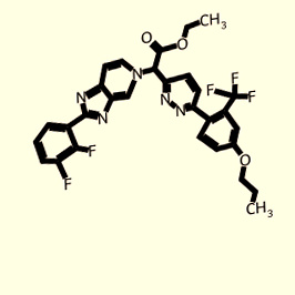 CCCOc1ccc(-c2ccc(C(C(=O)OCC)n3ccc4nc(-c5cccc(F)c5F)nc-4c3)nn2)c(C(F)(F)F)c1